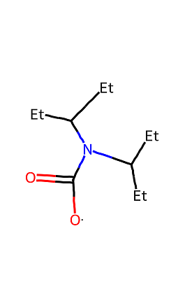 CCC(CC)N(C([O])=O)C(CC)CC